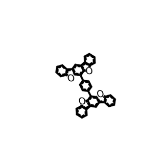 c1ccc2c(c1)oc1c(-c3ccc(-c4c5oc6ccccc6c5cc5c4oc4ccccc45)cc3)c3oc4ccccc4c3cc12